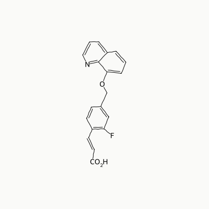 O=C(O)/C=C/c1ccc(COc2cccc3cccnc23)cc1F